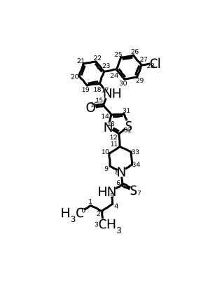 CCC(C)CNC(=S)N1CCC(c2nc(C(=O)Nc3ccccc3-c3ccc(Cl)cc3)cs2)CC1